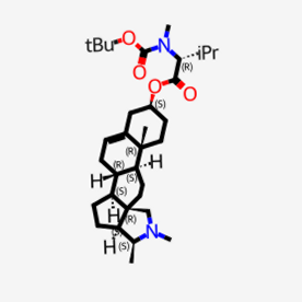 CC(C)[C@H](C(=O)O[C@H]1CC[C@@]2(C)C(=CC[C@H]3[C@@H]4CC[C@@H]5[C@H](C)N(C)C[C@@]54CC[C@@H]32)C1)N(C)C(=O)OC(C)(C)C